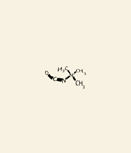 C[N+](C)(C)N=C=O